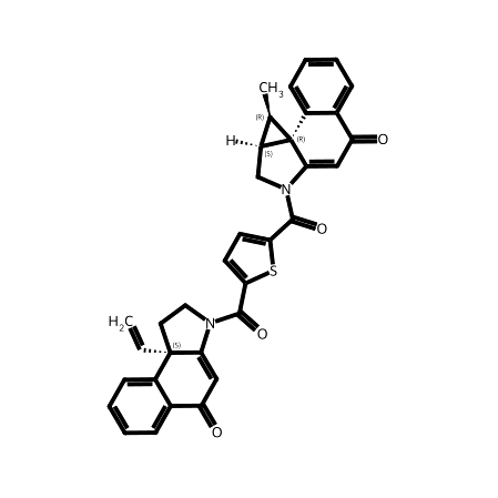 C=C[C@]12CCN(C(=O)c3ccc(C(=O)N4C[C@H]5[C@@H](C)[C@@]56C4=CC(=O)c4ccccc46)s3)C1=CC(=O)c1ccccc12